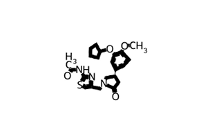 COc1ccc([C@@H]2CC(=O)N(Cc3csc(NC(C)=O)n3)C2)cc1OC1CCCC1